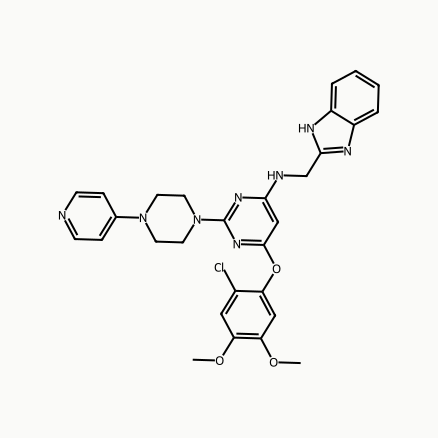 COc1cc(Cl)c(Oc2cc(NCc3nc4ccccc4[nH]3)nc(N3CCN(c4ccncc4)CC3)n2)cc1OC